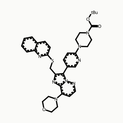 CC(C)(C)OC(=O)N1CCN(c2ccc(-c3c(CSc4ccc5ccccc5n4)nc4c(N5CCOCC5)ccnn34)cn2)CC1